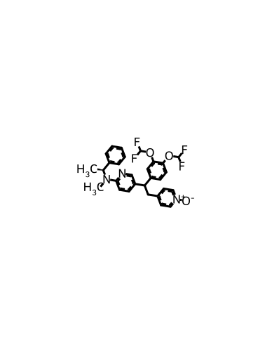 C[C@@H](c1ccccc1)N(C)c1ccc(C(Cc2cc[n+]([O-])cc2)c2ccc(OC(F)F)c(OC(F)F)c2)cn1